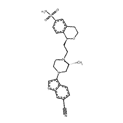 C[C@@H]1CN(c2csc3cc(C#N)ccc23)CCN1CC[C@@H]1OCCc2cc(S(N)(=O)=O)ccc21